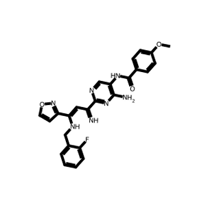 COc1ccc(C(=O)Nc2cnc(C(=N)/C=C(\NCc3ccccc3F)c3ccon3)nc2N)cc1